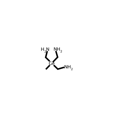 [CH3][Ge]([CH2]N)([CH2]N)[CH2]N